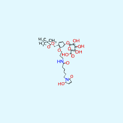 CC(C)(C)C(=O)OCc1ccc(O[C@@H]2O[C@H](C(=O)O)[C@@H](O)[C@H](O)[C@H]2O)cc1OCCCNC(=O)CCCCCN1C(=O)C=CC1O